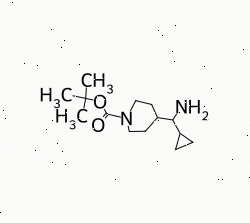 CC(C)(C)OC(=O)N1CCC(C(N)C2CC2)CC1